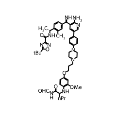 CCCC(Nc1ccc(OCCCN2CCN(c3ccc(-c4cnc(N)c(C(=N)c5ccc([C@@H](C)NC(=O)c6noc(C(C)(C)C)n6)c(C)c5)c4)cc3)CC2)cc1OC)C(=O)NC=O